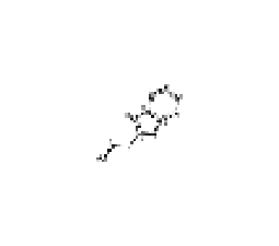 O=[C]Cc1cc2ccccc2o1